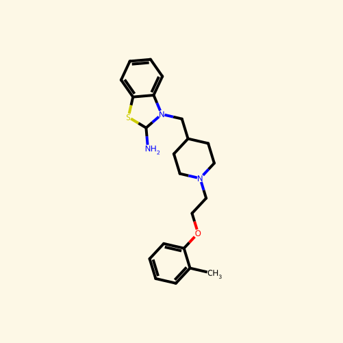 Cc1ccccc1OCCN1CCC(CN2c3ccccc3SC2N)CC1